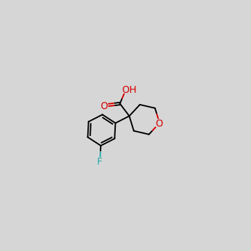 O=C(O)C1(c2cccc(F)c2)CCOCC1